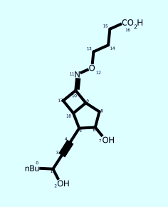 CCCCC(O)C#CC1C(O)CC2C(=NOCCCC(=O)O)CC21